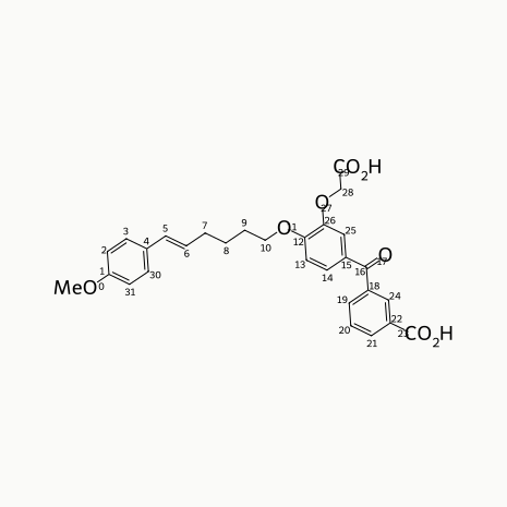 COc1ccc(C=CCCCCOc2ccc(C(=O)c3cccc(C(=O)O)c3)cc2OCC(=O)O)cc1